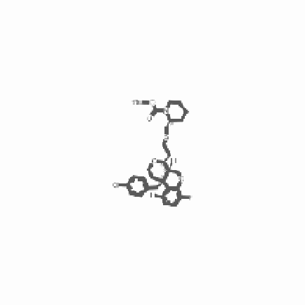 CC(C)(C)OC(=O)N1CCCC[C@H]1CSCC[C@@H]1OCC[C@@]2(Cc3ccc(Cl)cc3)c3c(F)ccc(F)c3OC[C@@H]12